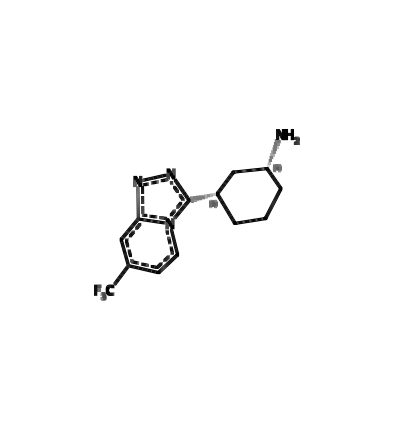 N[C@@H]1CCC[C@H](c2nnc3cc(C(F)(F)F)ccn23)C1